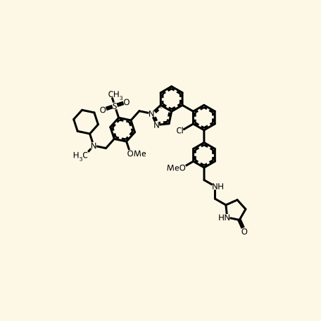 COc1cc(-c2cccc(-c3cccc4c3cnn4Cc3cc(OC)c(CN(C)C4CCCCC4)cc3S(C)(=O)=O)c2Cl)ccc1CNCC1CCC(=O)N1